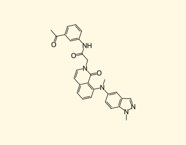 CC(=O)c1cccc(NC(=O)Cn2ccc3cccc(N(C)c4ccc5c(cnn5C)c4)c3c2=O)c1